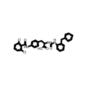 O=C(Nc1ccccc1Cc1ccccc1)NC(Cc1ccc(NC(=O)c2c(Cl)cccc2Cl)cc1)C(=O)O